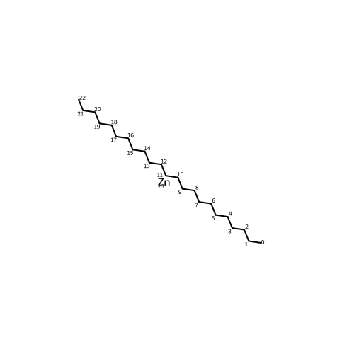 CCCCCCCCCCCCCCCCCCCCCCC.[Zn]